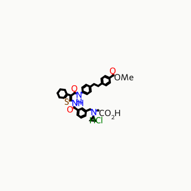 COC(=O)c1ccc(CCc2ccc(NC(=O)c3c(NC(=O)c4cccc(CN(CC(=O)O)C5CC5)c4)sc4c3CCCC4)cc2)cc1.Cl